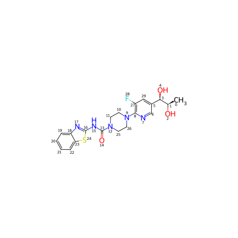 C[C@@H](O)[C@H](O)c1cnc(N2CCN(C(=O)Nc3nc4ccccc4s3)CC2)c(F)c1